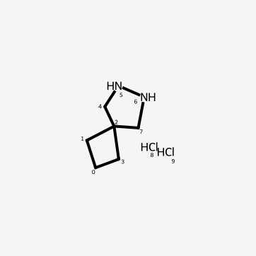 C1CC2(C1)CNNC2.Cl.Cl